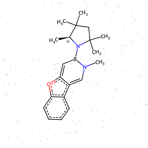 C[C@@H]1N(B2C=c3oc4ccccc4c3=CN2C)C(C)(C)CC1(C)C